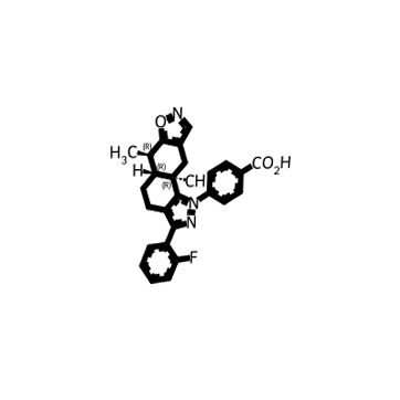 C[C@H]1c2oncc2C[C@@]2(C)c3c(c(-c4ccccc4F)nn3-c3ccc(C(=O)O)cc3)CC[C@H]12